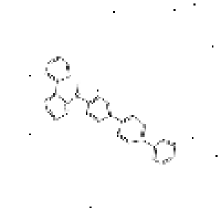 CN(c1ccc(-c2ccc(-c3ccccc3)cc2)cc1)c1ccccc1-c1ccccc1